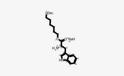 CCCCCCCCCCCCCCCCOC(=O)[C@@H](N)Cc1c[nH]c2ccccc12.[NaH]